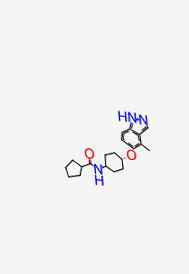 Cc1c(O[C@H]2CC[C@H](NC(=O)C3CCCC3)CC2)ccc2[nH]ncc12